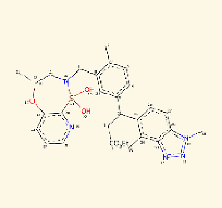 CCOC(=O)CC(c1ccc(C)c(CN2C[C@@H](C)Oc3cccnc3S2(O)O)c1)c1ccc2c(nnn2C)c1C